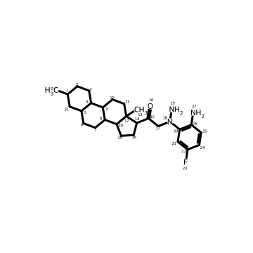 CC1CCC2C(CCC3C2CCC2(C)C(C(=O)CN(N)c4cc(F)ccc4N)CCC32)C1